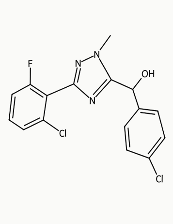 Cn1nc(-c2c(F)cccc2Cl)nc1C(O)c1ccc(Cl)cc1